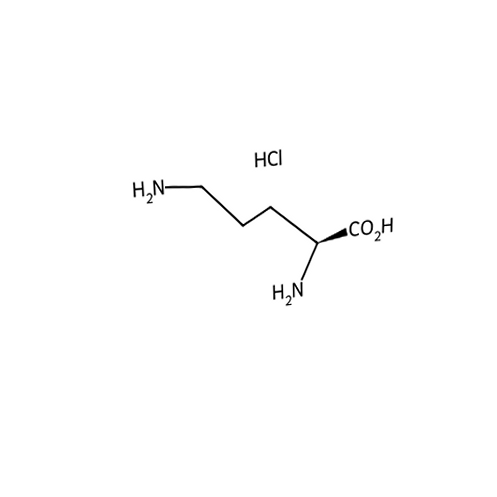 Cl.NCCC[C@H](N)C(=O)O